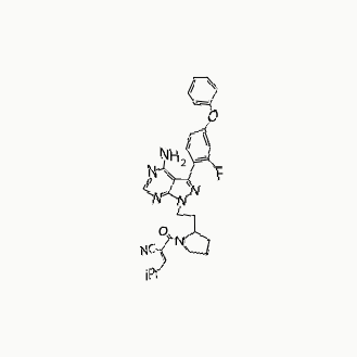 CC(C)C=C(C#N)C(=O)N1CCCC1CCn1nc(-c2ccc(Oc3ccccc3)cc2F)c2c(N)ncnc21